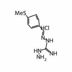 CSc1ccc(C=NNC(=N)NN)cc1.Cl